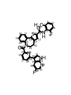 Cc1cccc(F)c1NC(=O)c1cc2c(s1)-c1ccccc1N(C(=O)c1cccc(-c3c[nH]c4ncc(F)cc34)n1)CC2